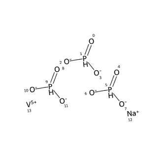 O=[PH]([O-])[O-].O=[PH]([O-])[O-].O=[PH]([O-])[O-].[Na+].[V+5]